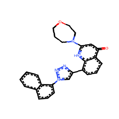 O=c1cc(N2CCCOCC2)[nH]c2c(-c3cn(-c4cccc5ccccc45)nn3)cccc12